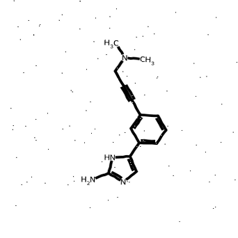 CN(C)CC#Cc1cccc(-c2cnc(N)[nH]2)c1